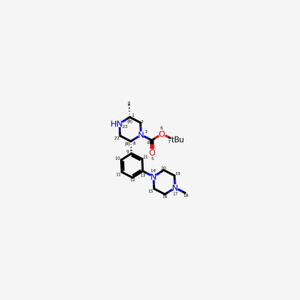 C[C@@H]1CN(C(=O)OC(C)(C)C)[C@H](c2cccc(N3CCN(C)CC3)c2)CN1